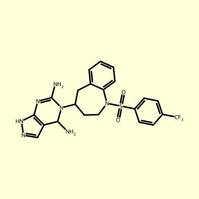 NC1=Nc2[nH]ncc2C(N)N1C1CCN(S(=O)(=O)c2ccc(C(F)(F)F)cc2)c2ccccc2C1